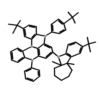 CC(C)(C)c1ccc(N2c3ccc(C(C)(C)C)cc3B3c4ccccc4N(c4ccccc4)c4cc(N5c6ccc(C(C)(C)C)cc6C6(C)CCCCCC56C)cc2c43)cc1